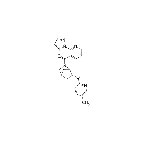 Cc1ccc(OC2CC3CC2N(C(=O)c2cccnc2-n2nccn2)C3)nc1